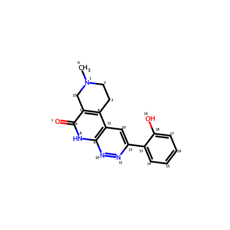 CN1CCc2c(c(=O)[nH]c3nnc(-c4ccccc4O)cc23)C1